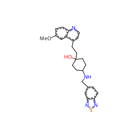 COc1ccc2nccc(CCC3(O)CCC(NCc4ccc5nsnc5c4)CC3)c2c1